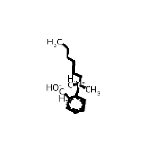 CCCCCC[N+](C)(C)c1ccccc1C.[OH-]